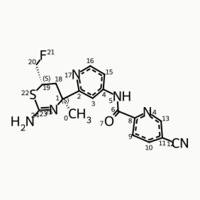 C[C@@]1(c2cc(NC(=O)c3ccc(C#N)cn3)ccn2)C[C@@H](CF)SC(N)=N1